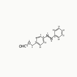 O=COCc1ccc(N=Nc2ccccc2)cc1